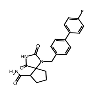 NC(=O)C1CCCC12C(=O)NC(=O)N2Cc1ccc(-c2ccc(F)cc2)cc1